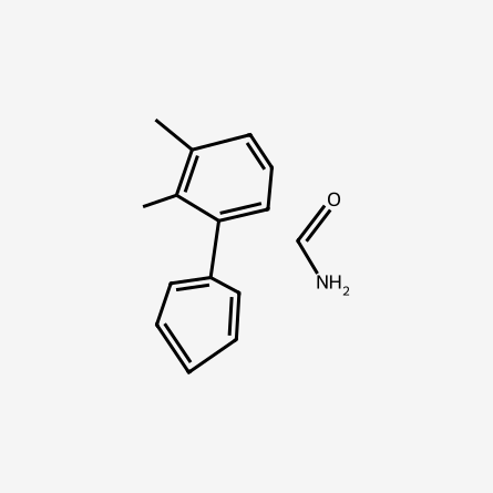 Cc1cccc(-c2ccccc2)c1C.NC=O